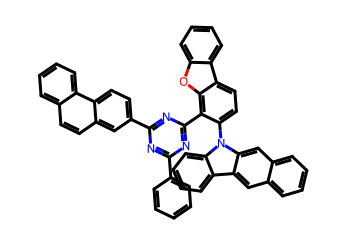 c1ccc(-c2nc(-c3ccc4c(ccc5ccccc54)c3)nc(-c3c(-n4c5ccccc5c5cc6ccccc6cc54)ccc4c3oc3ccccc34)n2)cc1